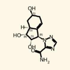 NC(=O)c1ncnn1[C@@H]1C2=CC[C@H](O)C[C@@H]2[C@@H](O)[C@H]1O